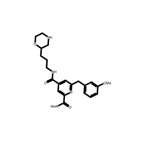 CNC(=O)c1cc(C(=O)NCCCC2CNCCO2)cc(Cc2cccc(OC)c2)n1